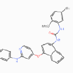 COc1ccc(C(C)(C)C)cc1NC(=O)Nc1ccc(Oc2ccnc(Nc3ccccc3)c2)c2ccccc12